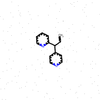 C=CC(c1ccncc1)c1ccccn1